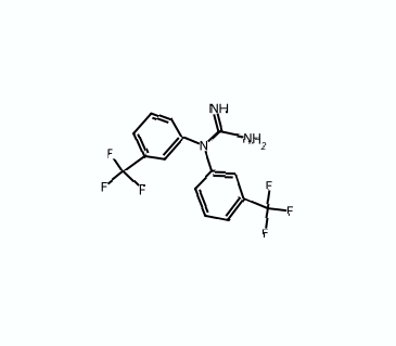 N=C(N)N(c1cccc(C(F)(F)F)c1)c1cccc(C(F)(F)F)c1